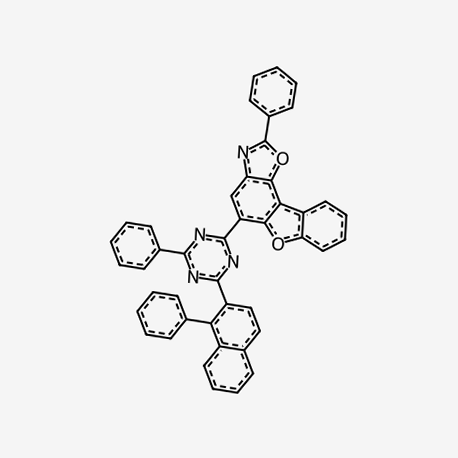 c1ccc(-c2nc(-c3ccc4ccccc4c3-c3ccccc3)nc(-c3cc4nc(-c5ccccc5)oc4c4c3oc3ccccc34)n2)cc1